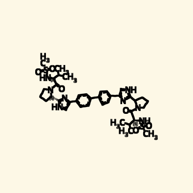 CC(C)[C@H](NS(C)(=O)=O)C(=O)N1CCCC1c1nc(-c2ccc(-c3ccc(-c4c[nH]c([C@@H]5CCCN5C(=O)[C@@H](NS(C)(=O)=O)C(C)C)n4)cc3)cc2)c[nH]1